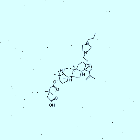 C=C(C)[C@@H]1CC[C@]2(CCN3CCN(CCC)CC3)CC[C@]3(C)[C@H](CC[C@@H]4[C@@]5(C)CC[C@H](OC(=O)CC(C)(C)CC(=O)O)C(C)(C)[C@@H]5CC[C@]43C)[C@@H]12